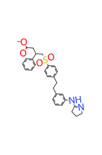 COC(=O)CC(CS(=O)(=O)c1ccc(CCc2cccc(NC3=NCCC3)c2)cc1)c1ccccc1